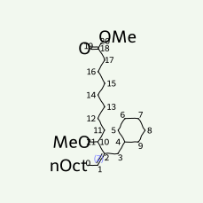 CCCCCCCC/C=C(/CC1CCCCC1)C(CCCCCCCC(=O)OC)OC